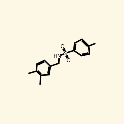 Cc1ccc(S(=O)(=O)NCc2ccc(C)c(C)c2)cc1